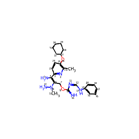 Cc1nc(/C(N)=C(\COC(=N)/N=C\Nc2ccccc2)N(C)N)ccc1OC1CCCCC1